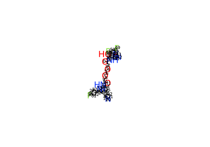 O=C(CCOCCOCCC(=O)Nc1ccc(-c2ccncc2)c2cc(-c3ccc(F)cc3)nn12)NCC(O)(Cn1cncn1)c1ccc(F)cc1F